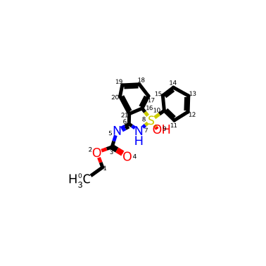 CCOC(=O)N=C1NS(O)(c2ccccc2)c2ccccc21